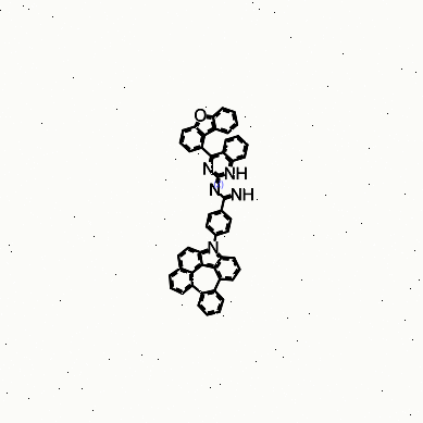 N=C(/N=c1/nc(-c2cccc3oc4ccccc4c23)c2ccccc2[nH]1)c1ccc(-n2c3cccc4c3c3c5c(cccc5ccc32)-c2ccccc2-4)cc1